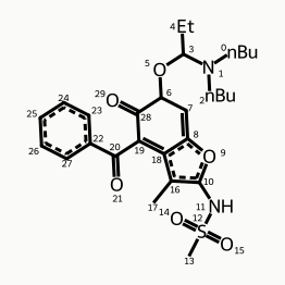 CCCCN(CCCC)C(CC)OC1C=c2oc(NS(C)(=O)=O)c(C)c2=C(C(=O)c2ccccc2)C1=O